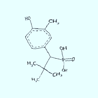 Cc1cc(C(C(C)(C)C)P(=O)(O)O)ccc1O